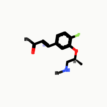 CC(C)NC[C@@H](C)Oc1cc(/C=C/C(=O)C(C)C)ccc1F